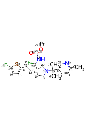 Cc1ccc(C(C)(C)N2CC[C@@](CCc3ccc(F)s3)([C@@H](F)NC(=O)OC(C)C)C2)cn1